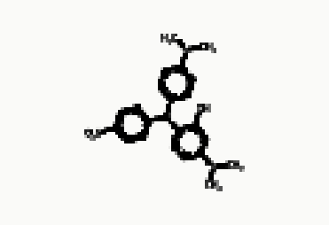 CN(C)c1ccc(C(c2ccc([N+](=O)[O-])cc2)c2ccc(N(C)C)cc2O)cc1